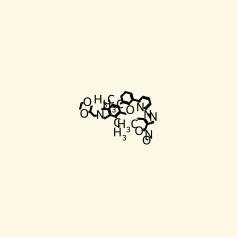 CCc1c(C(=O)N=O)cnn1-c1cccc(C2=CCCC(C)=C2OCc2cc(C)c3c(c2C)CN(CC2COCCO2)C3)n1